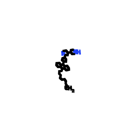 C=CC/C=C\C=C/C/C=C\Cc1c2ccccc2c(-c2ccc(-c3cc(C4=CCNC=C4)ccn3)cc2)c2ccccc12